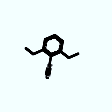 [C-]#[N+]c1c(CC)cccc1CC